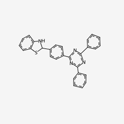 c1ccc(-c2nc(-c3ccccc3)nc(-c3ccc(C4Nc5ccccc5S4)cc3)n2)cc1